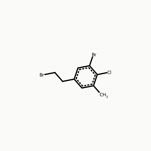 Cc1cc(CCBr)cc(Br)c1Cl